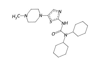 CN1CCN(c2cnc(NC(=O)N(C3CCCCC3)C3CCCCC3)s2)CC1